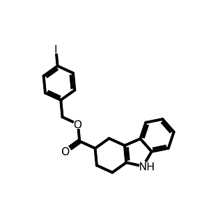 O=C(OCc1ccc(I)cc1)C1CCc2[nH]c3ccccc3c2C1